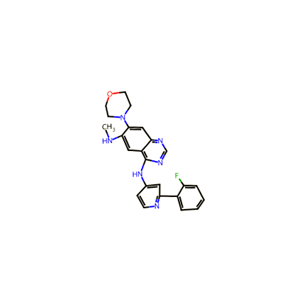 CNc1cc2c(Nc3ccnc(-c4ccccc4F)c3)ncnc2cc1N1CCOCC1